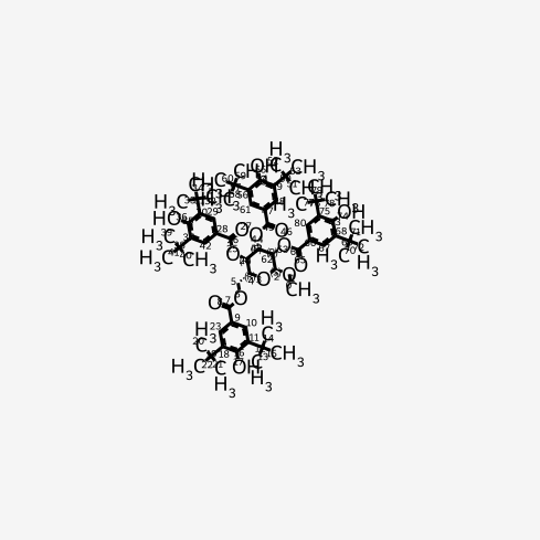 CO[C@H]1O[C@H](COC(=O)c2cc(C(C)(C)C)c(O)c(C(C)(C)C)c2)[C@@H](OC(=O)c2cc(C(C)(C)C)c(O)c(C(C)(C)C)c2)[C@H](OC(=O)c2cc(C(C)(C)C)c(O)c(C(C)(C)C)c2)[C@H]1OC(=O)c1cc(C(C)(C)C)c(O)c(C(C)(C)C)c1